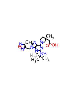 Cc1nonc1Cn1cnc2c(N3CCC(C)(CC(=O)O)C3)nc(NC(C)(C)C)nc21